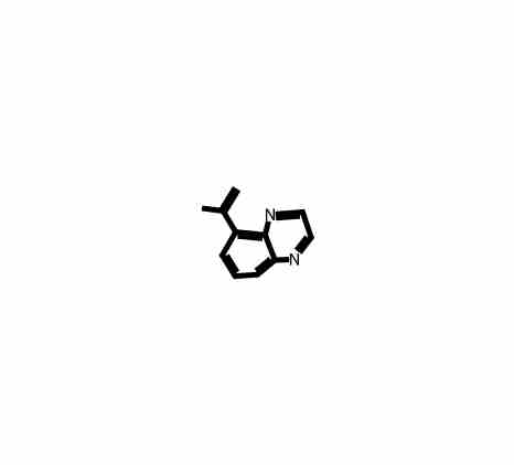 C=C(C)c1cccc2nccnc12